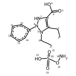 CCC1=C(C(=O)O)NN(c2ccccc2)N1CC.NOS(=O)(=O)O